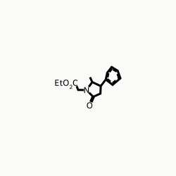 CCOC(=O)CN1C(=O)CC(c2ccccc2)C1C